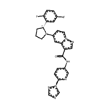 O=C(Nc1ccc(-n2cncn2)nc1)c1cnn2ccc(N3CCC[C@@H]3c3cc(F)ccc3F)cc12